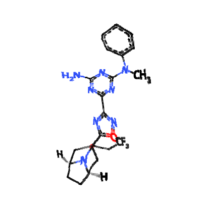 CN(c1ccccc1)c1nc(N)nc(-c2noc(C3C[C@H]4CC[C@@H](C3)N4CCC(F)(F)F)n2)n1